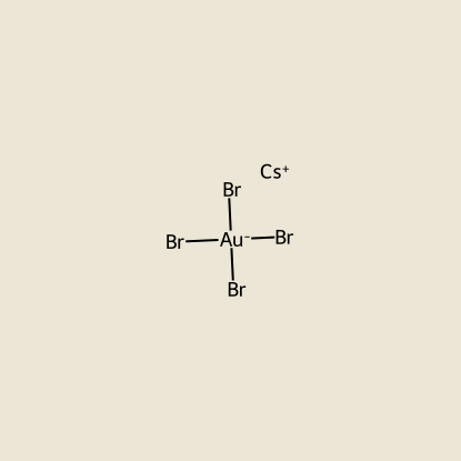 [Br][Au-]([Br])([Br])[Br].[Cs+]